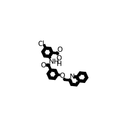 O=C(Nc1ccc(Cl)cc1C(=O)O)c1cccc(OCc2ccc3ccccc3n2)c1